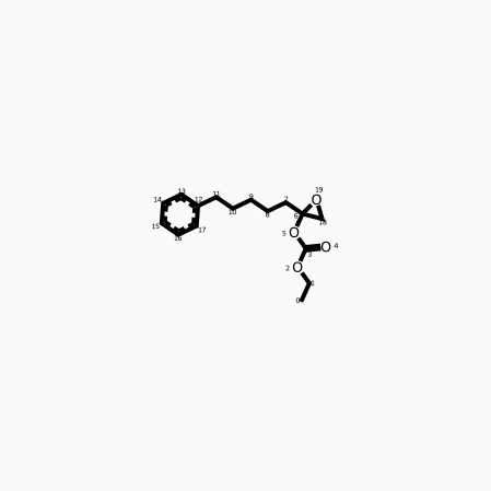 CCOC(=O)OC1(CCCCCc2ccccc2)CO1